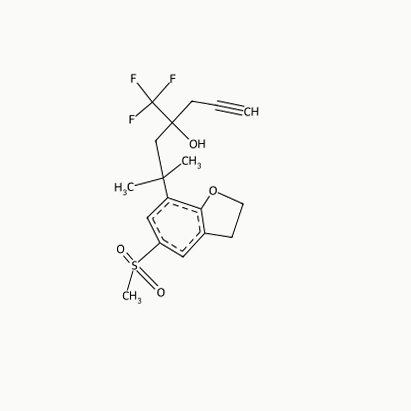 C#CCC(O)(CC(C)(C)c1cc(S(C)(=O)=O)cc2c1OCC2)C(F)(F)F